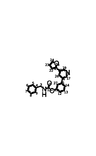 O=C(NCc1ccccc1)Oc1cccc(-c2cncc(-c3ccco3)c2)c1